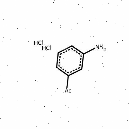 CC(=O)c1cccc(N)c1.Cl.Cl